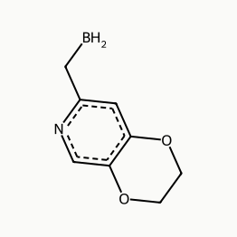 BCc1cc2c(cn1)OCCO2